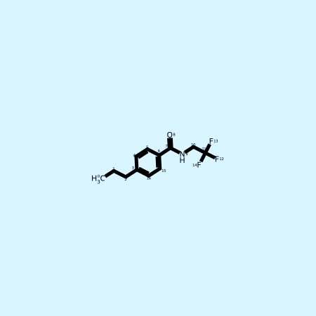 CCCc1ccc(C(=O)NCC(F)(F)F)cc1